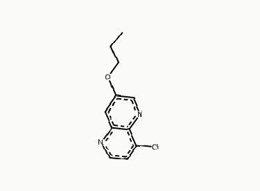 CCCOc1cnc2c(Cl)ccnc2c1